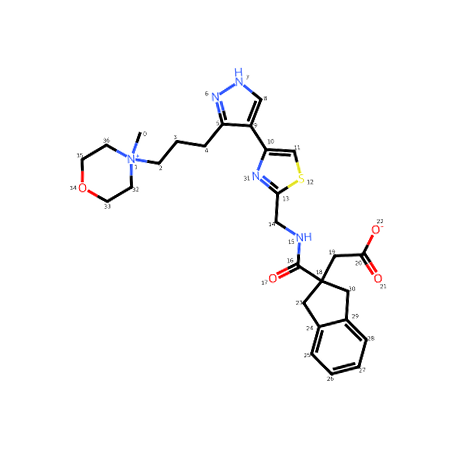 C[N+]1(CCCc2n[nH]cc2-c2csc(CNC(=O)C3(CC(=O)[O-])Cc4ccccc4C3)n2)CCOCC1